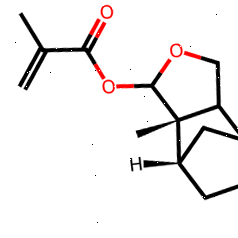 C=C(C)C(=O)OC1OCC2C3CC[C@@H](C3)[C@]12C